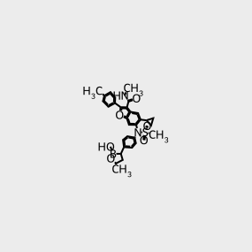 CNC(=O)c1c(-c2ccc(C)cc2)oc2cc(N(c3ccc(C4CC(C)OB4O)cc3)S(C)(=O)=O)c(C3CC3)cc12